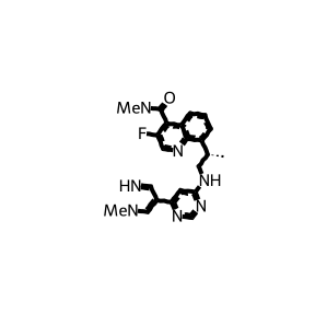 CN/C=C(\C=N)c1cc(NC[C@@H](C)c2cccc3c(C(=O)NC)c(F)cnc23)ncn1